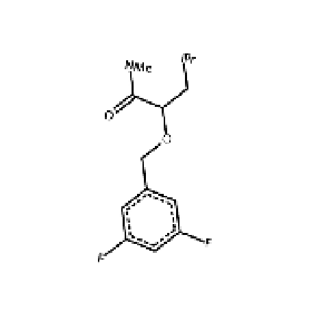 CNC(=O)C(CC(C)C)OCc1cc(F)cc(F)c1